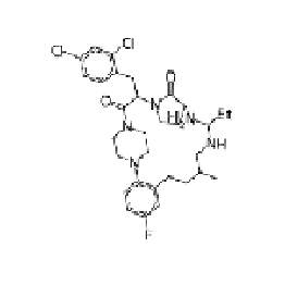 CCC(N)NCC(C)CCc1cc(F)ccc1N1CCN(C(=O)C(Cc2ccc(Cl)cc2Cl)N2CCCC2=O)CC1